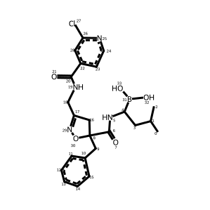 CC(C)CC(NC(=O)C1(Cc2ccccc2)CC(CNC(=O)c2ccnc(Cl)c2)=NO1)B(O)O